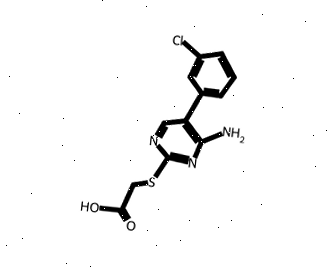 Nc1nc(SCC(=O)O)ncc1-c1cccc(Cl)c1